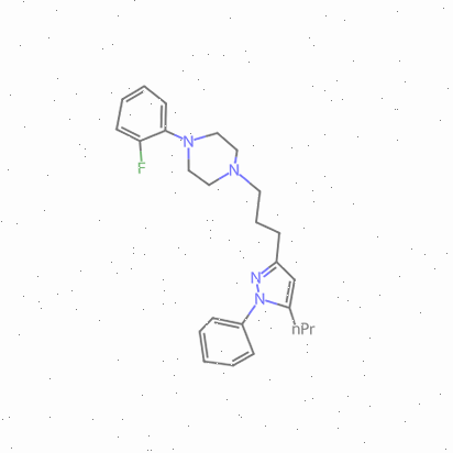 CCCc1cc(CCCN2CCN(c3ccccc3F)CC2)nn1-c1ccccc1